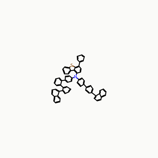 c1ccc(-c2ccc(N(c3ccc(-c4ccc(-c5cccc6ccccc56)cc4)cc3)c3ccc(-c4ccccc4-c4ccccc4-c4cccc5ccccc45)cc3)c3c2sc2ccccc23)cc1